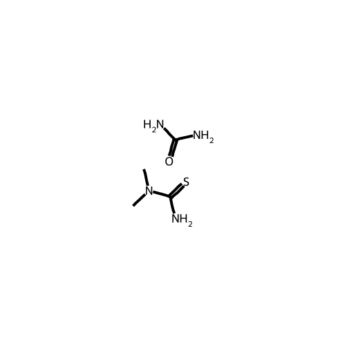 CN(C)C(N)=S.NC(N)=O